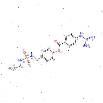 N=C(N)Nc1ccc(C(=O)Oc2ccc(CNS(=O)(=O)NCC(=O)O)cc2)cc1